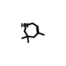 CC1=CCNCC(C)(C)C1